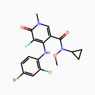 CON(C(=O)c1cn(C)c(=O)c(F)c1Nc1ccc(Br)cc1Cl)C1CC1